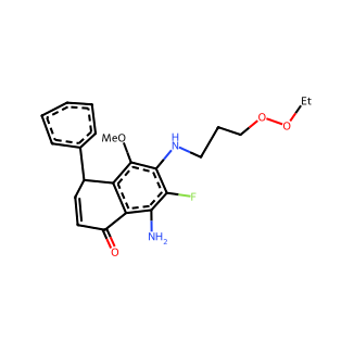 CCOOCCCNc1c(F)c(N)c2c(c1OC)C(c1ccccc1)C=CC2=O